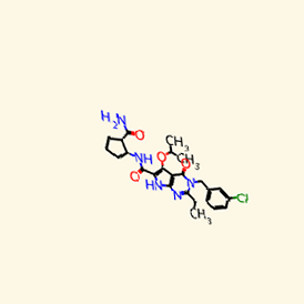 CCc1nc2[nH]c(C(=O)N[C@H]3CCC[C@H]3C(N)=O)c(OC(C)C)c2c(=O)n1Cc1cccc(Cl)c1